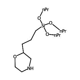 CCCO[Si](CCCC1CNCCO1)(OCCC)OCCC